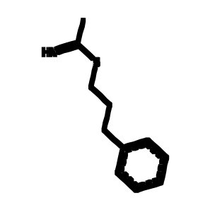 CC(=N)SCCCc1ccccc1